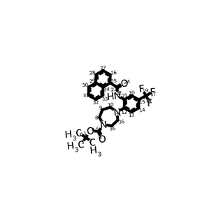 CC(C)(C)OC(=O)N1CCCN(c2ccc(C(F)(F)F)cc2NC(=O)c2cccc3ccccc23)CC1